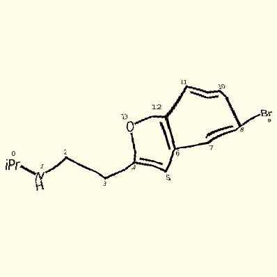 CC(C)NCCc1cc2cc(Br)ccc2o1